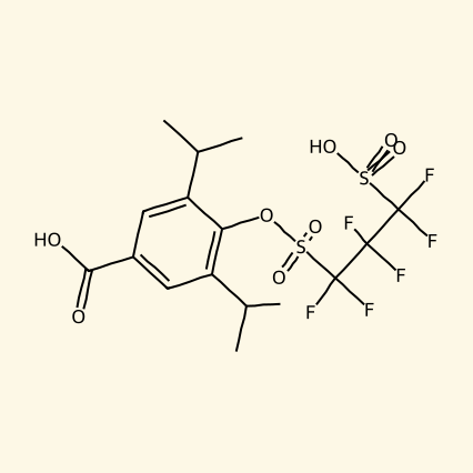 CC(C)c1cc(C(=O)O)cc(C(C)C)c1OS(=O)(=O)C(F)(F)C(F)(F)C(F)(F)S(=O)(=O)O